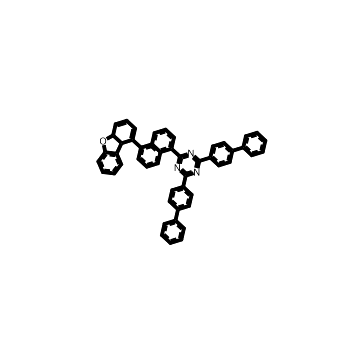 C1=CC2Oc3ccccc3C2C(c2cccc3c(-c4nc(-c5ccc(-c6ccccc6)cc5)nc(-c5ccc(-c6ccccc6)cc5)n4)cccc23)=C1